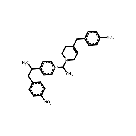 CC(Cc1ccc([N+](=O)[O-])cc1)c1cc[n+](C(C)N2CC=C(Cc3ccc([N+](=O)[O-])cc3)CC2)cc1